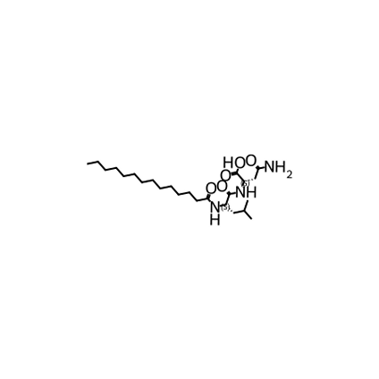 CCCCCCCCCCCCCC(=O)N[C@@H](CC(C)C)C(=O)N[C@@H](CC(N)=O)C(=O)O